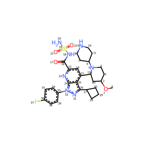 COC1CCN(C2CCNCC2)C(c2cc(C(=O)NS(N)(=O)=O)nc3c2c(C2CCC2)nn3-c2ccc(F)cc2)C1